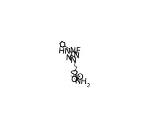 NS(=O)(=O)c1cc(CCCn2cnc3c(NCc4ccccc4)nc(F)nc32)cs1